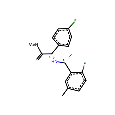 C=C(NC)[C@@H](N[C@H](C)c1cc(C)ccc1F)c1ccc(F)cc1